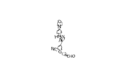 N#Cc1cc(-c2ccnc(Nc3ccc(N4CCOCC4)cc3)n2)ccc1OC1CCN(C=O)CC1